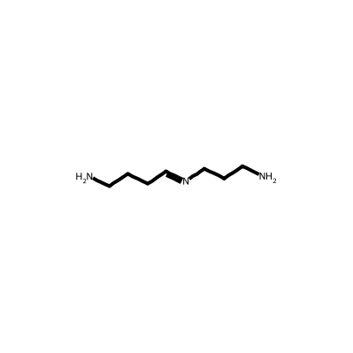 NCCCC=NCCCN